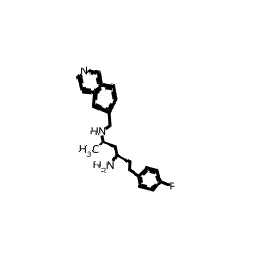 C[C@H](CC(N)CCc1ccc(F)cc1)NCc1ccc2cnccc2c1